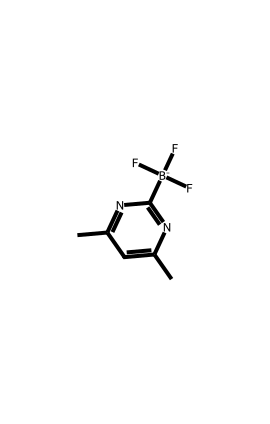 Cc1cc(C)nc([B-](F)(F)F)n1